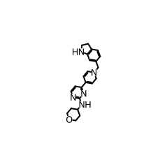 C1=CN(Cc2ccc3c(c2)NCC3)CC=C1c1ccnc(NC2CCOCC2)n1